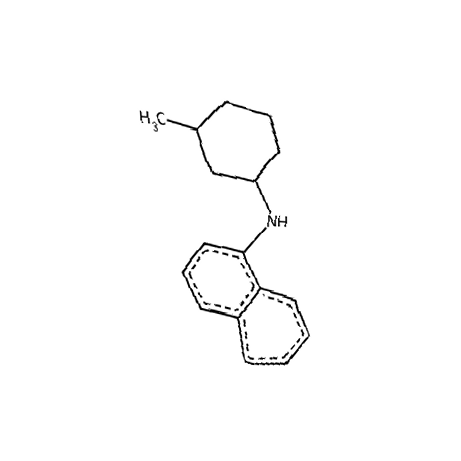 CC1CCCC(Nc2cccc3ccccc23)C1